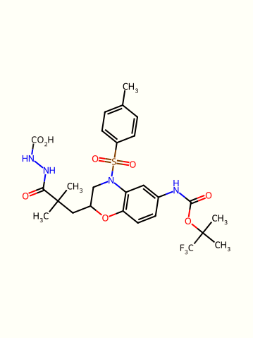 Cc1ccc(S(=O)(=O)N2CC(CC(C)(C)C(=O)NNC(=O)O)Oc3ccc(NC(=O)OC(C)(C)C(F)(F)F)cc32)cc1